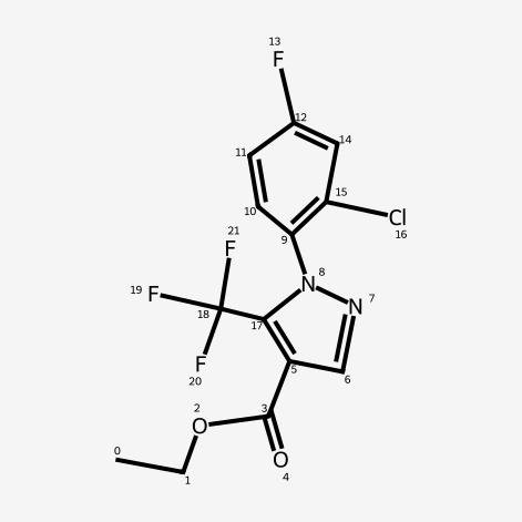 CCOC(=O)c1cnn(-c2ccc(F)cc2Cl)c1C(F)(F)F